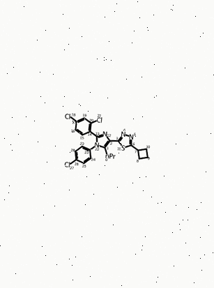 CCCc1c(-c2nnc(C3CCC3)s2)nc(-c2ccc(Cl)cc2Cl)n1-c1ccc(Cl)cc1